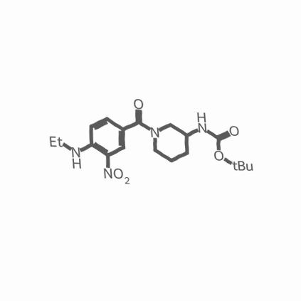 CCNc1ccc(C(=O)N2CCCC(NC(=O)OC(C)(C)C)C2)cc1[N+](=O)[O-]